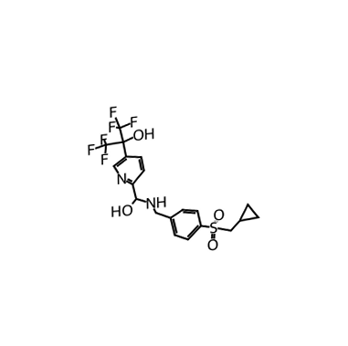 O=S(=O)(CC1CC1)c1ccc(CNC(O)c2ccc(C(O)(C(F)(F)F)C(F)(F)F)cn2)cc1